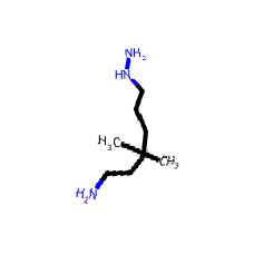 CC(C)(CCN)CCCNN